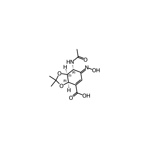 CC(=O)N[C@@H]1C(=NO)C=C(C(=O)O)[C@H]2OC(C)(C)O[C@@H]12